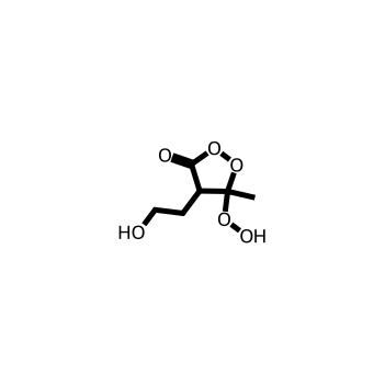 CC1(OO)OOC(=O)C1CCO